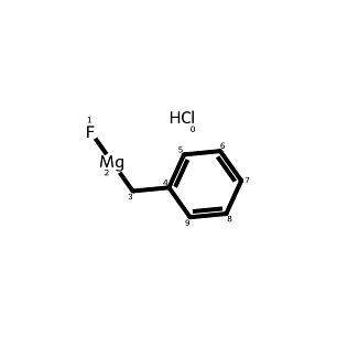 Cl.[F][Mg][CH2]c1ccccc1